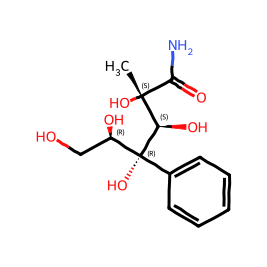 C[C@@](O)(C(N)=O)[C@@H](O)[C@@](O)(c1ccccc1)[C@H](O)CO